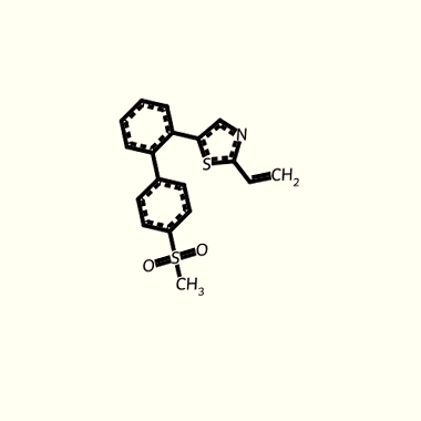 C=Cc1ncc(-c2ccccc2-c2ccc(S(C)(=O)=O)cc2)s1